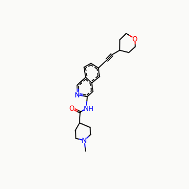 CN1CCC(C(=O)Nc2cc3cc(C#CC4CCOCC4)ccc3cn2)CC1